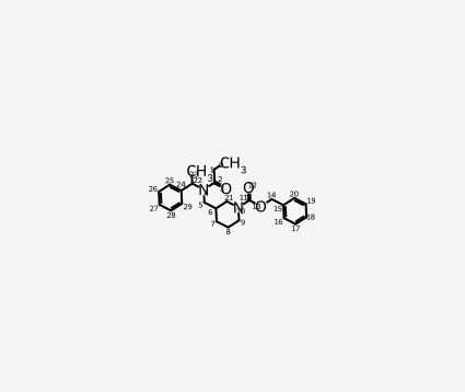 CCC(=O)N(CC1CCCN(C(=O)OCc2ccccc2)C1)C(C)c1ccccc1